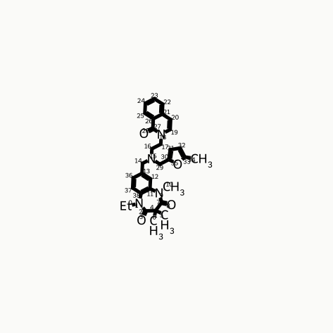 CCN1C(=O)C(C)(C)C(=O)N(C)c2cc(CN(CCn3ccc4ccccc4c3=O)Cc3ccc(C)o3)ccc21